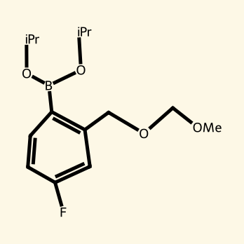 COCOCc1cc(F)ccc1B(OC(C)C)OC(C)C